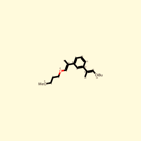 COCCCOC=C(C)c1cccc(C(C)=COCC(C)C)c1